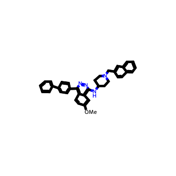 COc1ccc2c(-c3ccc(-c4ccccc4)cc3)nnc(NC3CCN(Cc4ccc5ccccc5c4)CC3)c2c1